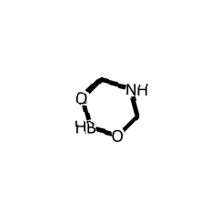 B1OCNCO1